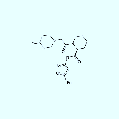 CC(C)(C)c1cc(NC(=O)[C@@H]2CCCCN2C(=O)CN2CCC(F)CC2)no1